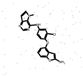 Cn1ccc2ncnc(Nc3ccc(Oc4cccc5oc(N)cc45)c(Cl)c3)c21